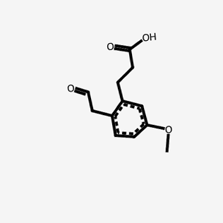 COc1ccc(CC=O)c(CCC(=O)O)c1